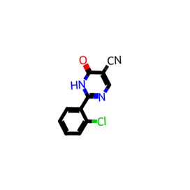 N#Cc1cnc(-c2ccccc2Cl)[nH]c1=O